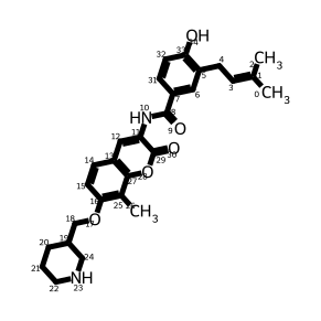 CC(C)=CCc1cc(C(=O)Nc2cc3ccc(OCC4CCCNC4)c(C)c3oc2=O)ccc1O